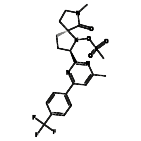 Cc1cc(-c2ccc(C(F)(F)F)cc2)nc([C@H]2CC[C@@]3(CCN(C)C3=O)N2OS(C)(=O)=O)n1